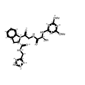 COc1nc(N[C@H](C(=O)NCC(=O)N2c3ccccc3C[C@H]2C(=O)NCc2nn[nH]n2)C(C)C)nc(OC)n1